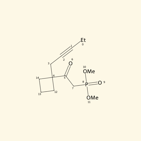 CCC#CCC1(C(=O)CP(=O)(OC)OC)CCC1